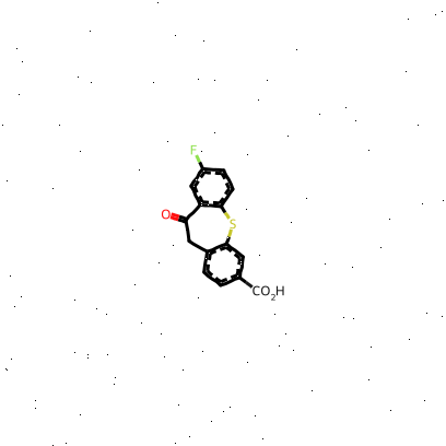 O=C(O)c1ccc2c(c1)Sc1ccc(F)cc1C(=O)C2